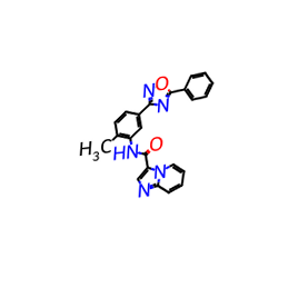 Cc1ccc(-c2noc(-c3ccccc3)n2)cc1NC(=O)c1cnc2ccccn12